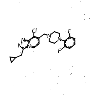 Fc1cccc(F)c1N1CCN(Cc2ccn3c(CC4CC4)nnc3c2Cl)CC1